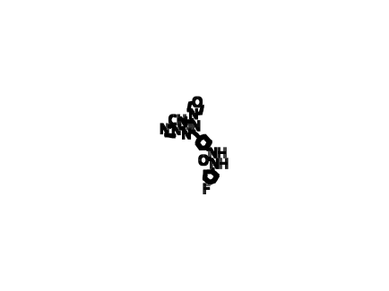 Cc1nccn1-c1nc(-c2ccc(NC(=O)Nc3ccc(F)cc3)cc2)nc(N2CCOCC2)n1